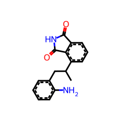 CC(Cc1ccccc1N)c1cccc2c1C(=O)NC2=O